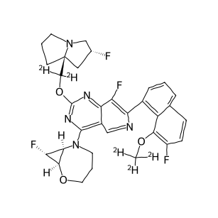 [2H]C([2H])([2H])Oc1c(F)ccc2cccc(-c3ncc4c(N5CCCO[C@H]6[C@H](F)[C@H]65)nc(OC([2H])([2H])[C@@]56CCCN5C[C@H](F)C6)nc4c3F)c12